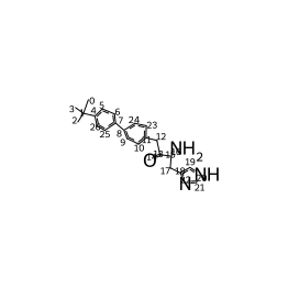 CC(C)(C)c1ccc(-c2ccc(CC(=O)C(N)Cc3c[nH]cn3)cc2)cc1